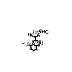 CC(C)C1CCCC(C)N1CC(O)C(O)CNC=O